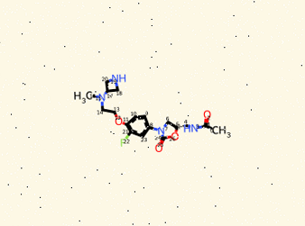 CC(=O)NC[C@H]1CN(c2ccc(OCCN(C)C3CNC3)c(F)c2)C(=O)O1